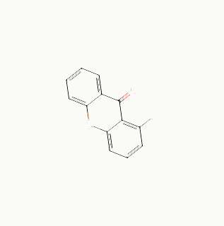 O=c1c2ccccc2sc2cccc(F)c12